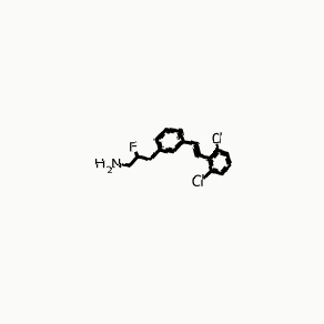 NCC(F)Cc1cccc(C=Cc2c(Cl)cccc2Cl)c1